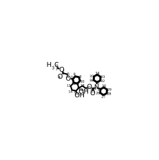 CCOC(=O)COc1cccc2c1CCC(O)C2(O)CCOC(=O)N(c1ccccc1)c1ccccc1